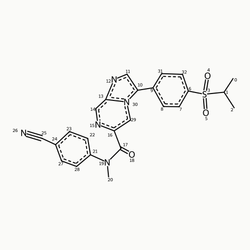 CC(C)S(=O)(=O)c1ccc(-c2cnc3cnc(C(=O)N(C)c4ccc(C#N)cc4)cn23)cc1